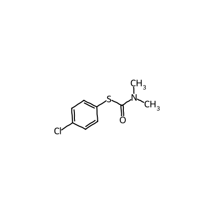 CN(C)C(=O)Sc1ccc(Cl)cc1